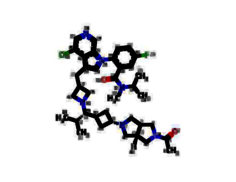 CC(=O)N1CC2CN([C@H]3C[C@H]([C@H](C(C)C)N4CC(Cc5cn(-c6ccc(F)cc6C(=O)N(C)C(C)C)c6cncc(Cl)c56)C4)C3)C[C@H]2C1